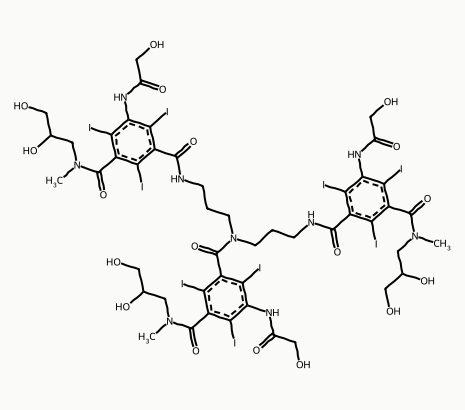 CN(CC(O)CO)C(=O)c1c(I)c(NC(=O)CO)c(I)c(C(=O)NCCCN(CCCNC(=O)c2c(I)c(NC(=O)CO)c(I)c(C(=O)N(C)CC(O)CO)c2I)C(=O)c2c(I)c(NC(=O)CO)c(I)c(C(=O)N(C)CC(O)CO)c2I)c1I